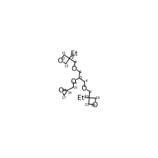 CCC1(COCC(COCC2(CC)COC2)OCC2CO2)COC1